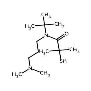 CN(C)CCCN(C(=O)C(C)(C)S)C(C)(C)C